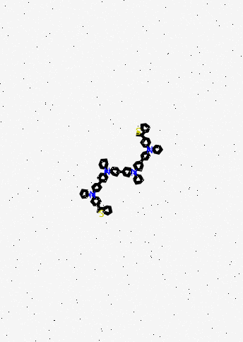 c1ccc(N(c2ccc(-c3ccc(N(c4ccccc4)c4ccc(-c5ccc(N(c6ccccc6)c6ccc(-c7csc8ccccc78)cc6)cc5)cc4)cc3)cc2)c2ccc(-c3ccc(N(c4ccccc4)c4ccc(-c5csc6ccccc56)cc4)cc3)cc2)cc1